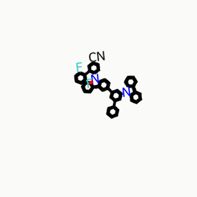 N#Cc1ccc(-n2c3ccccc3c3cc(-c4cc(-c5ccccc5)cc(-n5c6ccccc6c6ccccc65)c4)ccc32)c(-c2c(F)cccc2F)c1